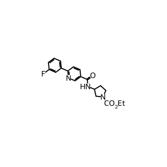 CCOC(=O)N1CCC(NC(=O)c2ccc(-c3cccc(F)c3)nc2)C1